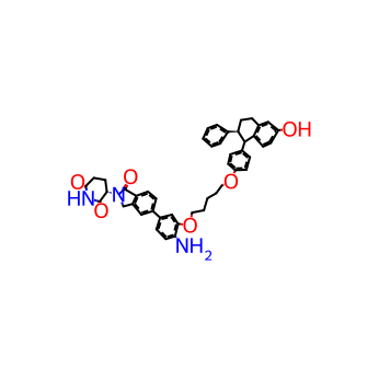 Nc1ccc(-c2ccc3c(c2)CN([C@H]2CCC(=O)NC2=O)C3=O)cc1OCCCCCOc1ccc(C2c3ccc(O)cc3CC[C@@H]2c2ccccc2)cc1